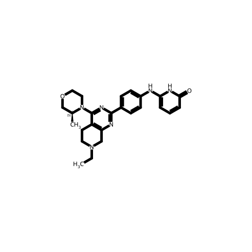 CCN1CCc2c(nc(-c3ccc(Nc4cccc(=O)[nH]4)cc3)nc2N2CCOC[C@@H]2C)C1